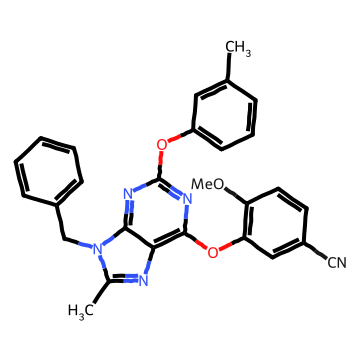 COc1ccc(C#N)cc1Oc1nc(Oc2cccc(C)c2)nc2c1nc(C)n2Cc1ccccc1